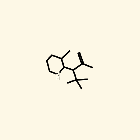 C=C(C)C(C1NCCCC1C)C(C)(C)C